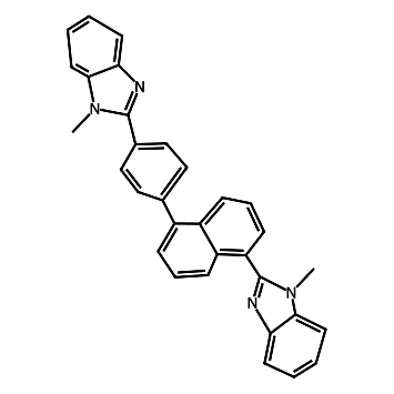 Cn1c(-c2ccc(-c3cccc4c(-c5nc6ccccc6n5C)cccc34)cc2)nc2ccccc21